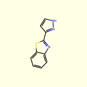 c1ccc2sc(-c3cc[nH]n3)nc2c1